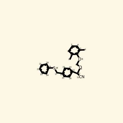 Cc1cccc(C)c1OCOC(C#N)c1ccc(CSc2ccccc2)cc1